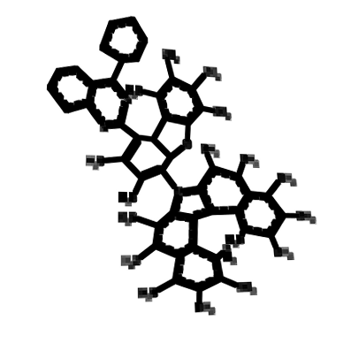 BC1=C(c2nc(-c3ccccc3)c3ccccc3n2)C2c3c(B)c(B)c(B)c(B)c3OC2C(n2c3c(B)c(B)c4c(B)c(B)c(B)c(B)c4c3c3c4c(B)c(B)c(B)c(B)c4c(B)c(B)c32)=C1B